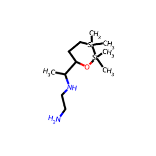 CC(NCCN)C1CC[Si](C)(C)[Si](C)(C)O1